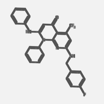 O=c1cc(Nc2ccccc2)n(-c2ccccc2)c2nc(NCc3ccc(F)cc3)cc(C(F)(F)F)c12